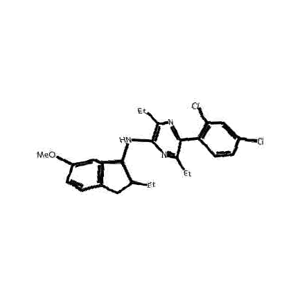 CCc1nc(-c2ccc(Cl)cc2Cl)c(CC)nc1NC1c2cc(OC)ccc2CC1CC